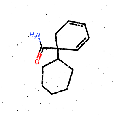 NC(=O)C1(C2CCCCC2)C=CC=CC1